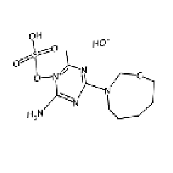 Cc1nc(N2CCCCCCC2)nc(N)[n+]1OS(=O)(=O)O.[OH-]